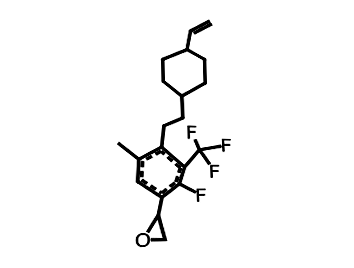 C=CC1CCC(CCc2c(C)cc(C3CO3)c(F)c2C(F)(F)F)CC1